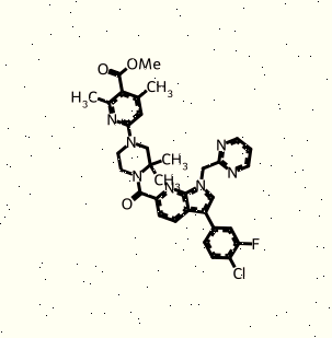 COC(=O)c1c(C)cc(N2CCN(C(=O)c3ccc4c(-c5ccc(Cl)c(F)c5)cn(Cc5ncccn5)c4n3)C(C)(C)C2)nc1C